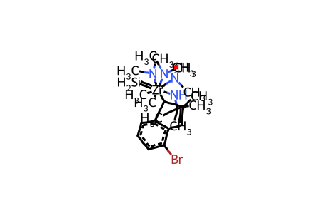 CC1=Cc2c(Br)cccc2[CH]1[Zr]([CH3])([CH3])(=[SiH2])([NH]C(C)(C)C)([N](C)C)([N](C)C)[N](C)C